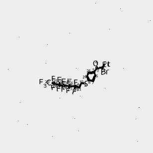 CCC(Br)C(=O)c1ccc(SCCC(F)(F)C(F)(F)C(F)(F)C(F)(F)C(F)(F)C(F)(F)F)cc1